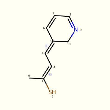 C/C(S)=C\C=C1\C=CC=NC1